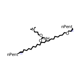 CCCCC/C=C\COCCCCCCCCC(CCCCCCCCCC/C=C/CCCCC)NC(=O)OCCCN(C)C